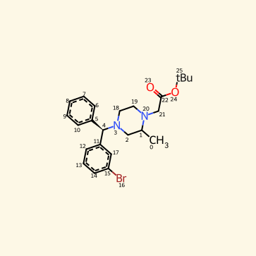 CC1CN([C@H](c2ccccc2)c2cccc(Br)c2)CCN1CC(=O)OC(C)(C)C